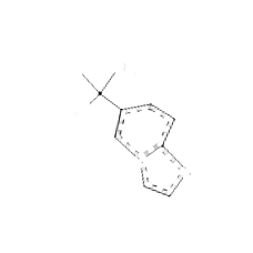 CC(C)(O)c1ccc2n[c]cn2c1